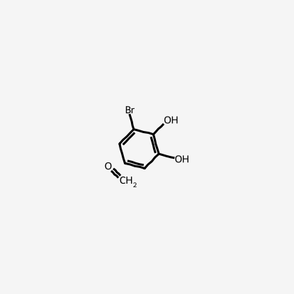 C=O.Oc1cccc(Br)c1O